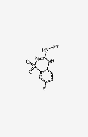 CC(C)NC1=NS(=O)(=O)c2cc(F)ccc2N1